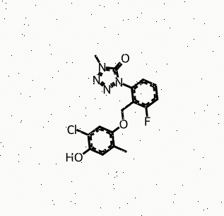 Cc1cc(O)c(Cl)cc1OCc1c(F)cccc1-n1nnn(C)c1=O